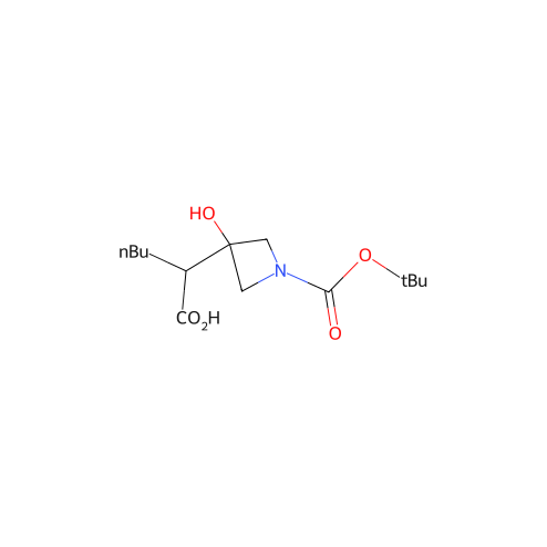 CCCCC(C(=O)O)C1(O)CN(C(=O)OC(C)(C)C)C1